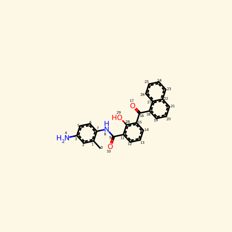 Cc1cc(N)ccc1NC(=O)c1cccc(C(=O)c2cccc3ccccc23)c1O